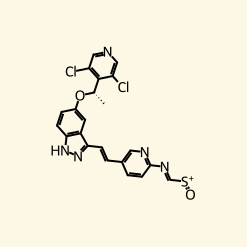 C[C@H](Oc1ccc2[nH]nc(/C=C/c3ccc(/N=C/[S+]=O)nc3)c2c1)c1c(Cl)cncc1Cl